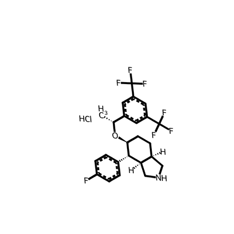 C[C@@H](O[C@H]1CC[C@H]2CNC[C@H]2[C@@H]1c1ccc(F)cc1)c1cc(C(F)(F)F)cc(C(F)(F)F)c1.Cl